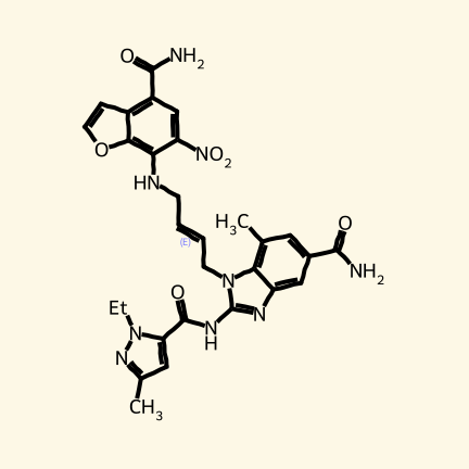 CCn1nc(C)cc1C(=O)Nc1nc2cc(C(N)=O)cc(C)c2n1C/C=C/CNc1c([N+](=O)[O-])cc(C(N)=O)c2ccoc12